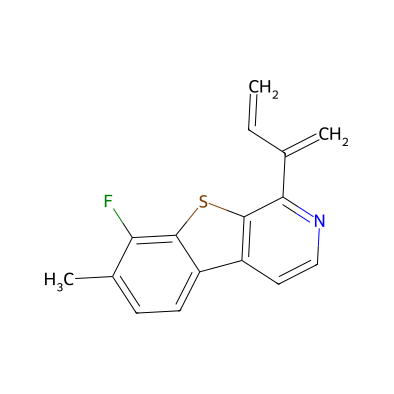 C=CC(=C)c1nccc2c1sc1c(F)c(C)ccc12